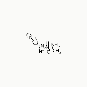 CC(N)C(=O)Nc1cncc(-c2cnc(N3CC4CC4C3)nc2)n1